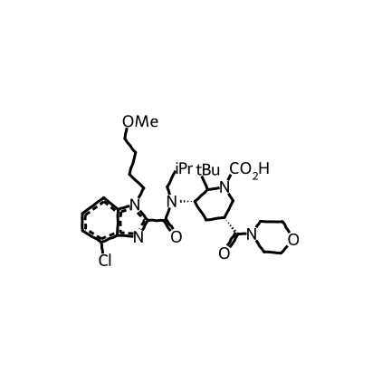 COCCCCn1c(C(=O)N(CC(C)C)[C@H]2C[C@@H](C(=O)N3CCOCC3)CN(C(=O)O)C2C(C)(C)C)nc2c(Cl)cccc21